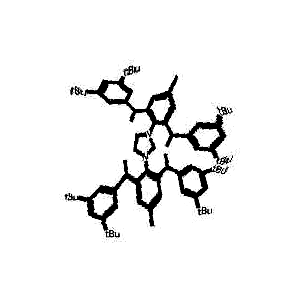 Cc1cc(C(C)c2cc(C(C)(C)C)cc(C(C)(C)C)c2)c(N2CCN(c3c(C(C)c4cc(C(C)(C)C)cc(C(C)(C)C)c4)cc(C)cc3C(C)c3cc(C(C)(C)C)cc(C(C)(C)C)c3)C2)c(C(C)c2cc(C(C)(C)C)cc(C(C)(C)C)c2)c1